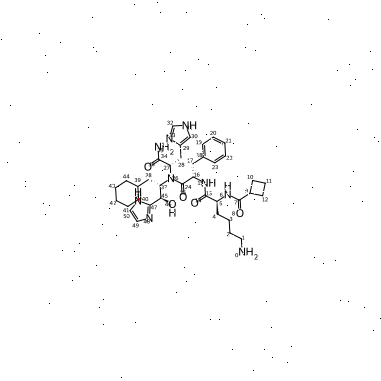 NCCCC[C@H](NC(=O)C1CCC1)C(=O)N[C@@H](Cc1ccccc1)C(=O)N([C@@H](Cc1c[nH]cn1)C(N)=O)[C@@H](CC1CCCCC1)[C@@H](O)c1ncc[nH]1